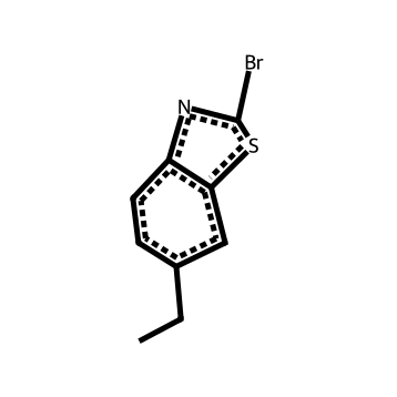 CCc1ccc2nc(Br)sc2c1